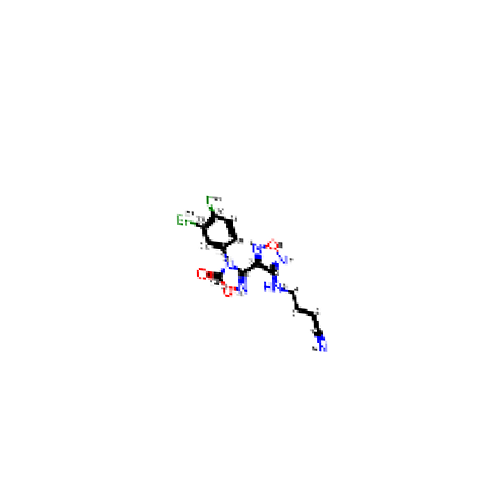 N#CCCCNc1nonc1-c1noc(=O)n1-c1ccc(F)c(Br)c1